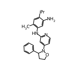 Cc1cc(C(C)C)c(N)cc1Nc1cc(N2OCCC2c2ccccc2)ccn1